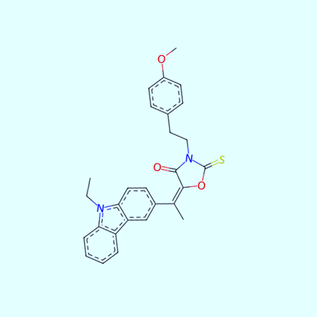 CCn1c2ccccc2c2cc(/C(C)=C3/OC(=S)N(CCc4ccc(OC)cc4)C3=O)ccc21